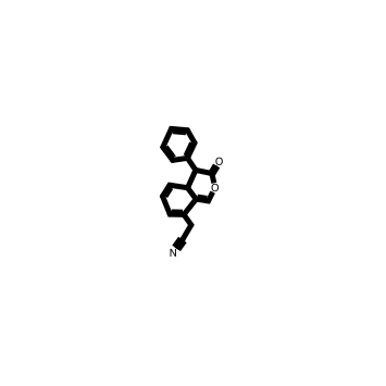 N#CCC1=CC=CC2C1=COC(=O)C2c1ccccc1